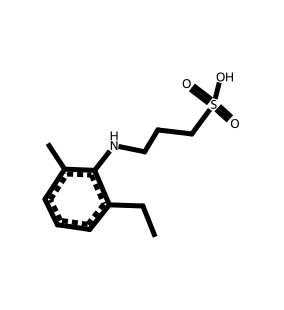 CCc1cccc(C)c1NCCCS(=O)(=O)O